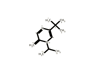 C=C1C=NC(C(C)(C)C)=CN1C(C)C